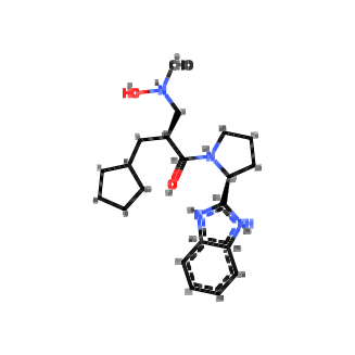 O=CN(O)C[C@H](CC1CCCC1)C(=O)N1CCC[C@H]1c1nc2ccccc2[nH]1